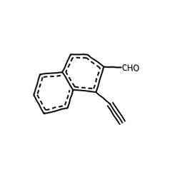 C#Cc1c(C=O)ccc2ccccc12